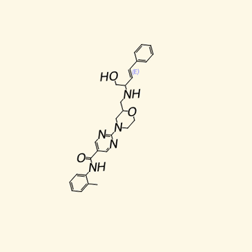 Cc1ccccc1NC(=O)c1cnc(N2CCOC(CNC(/C=C/c3ccccc3)CO)C2)nc1